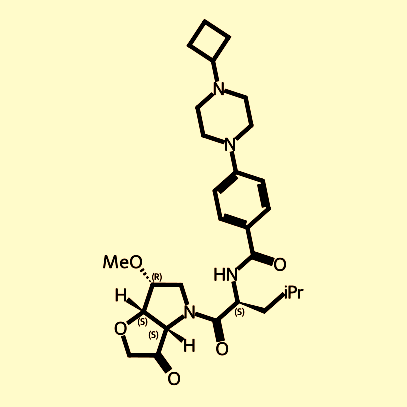 CO[C@@H]1CN(C(=O)[C@H](CC(C)C)NC(=O)c2ccc(N3CCN(C4CCC4)CC3)cc2)[C@@H]2C(=O)CO[C@@H]21